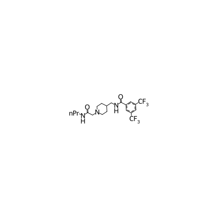 CCCNC(=O)CN1CCC(CNC(=O)c2cc(C(F)(F)F)cc(C(F)(F)F)c2)CC1